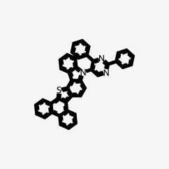 c1ccc(-c2ncc(-n3c4ccccc4c4c5sc6c7ccccc7c7ccccc7c6c5ccc43)c(-c3ccccc3)n2)cc1